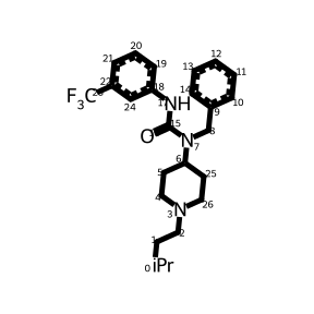 CC(C)CCN1CCC(N(Cc2ccccc2)C(=O)Nc2cccc(C(F)(F)F)c2)CC1